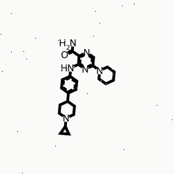 NC(=O)c1ncc(N2CCCCC2)nc1Nc1ccc(C2CCN(C3CC3)CC2)cc1